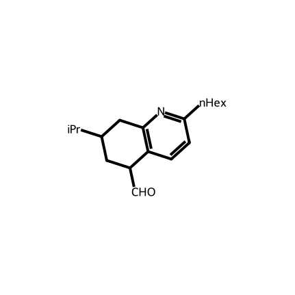 CCCCCCc1ccc2c(n1)CC(C(C)C)CC2C=O